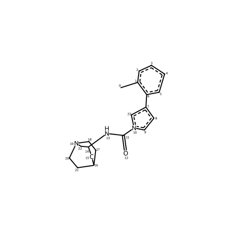 Cc1ccccc1-c1ccn(C(=O)NC2CC3CCN(CC3)C2)c1